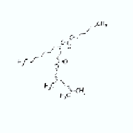 CCC=CCCOC(=O)OC(CCCCCCC)CCC(=O)OCC=C(C)CCC=C(C)C